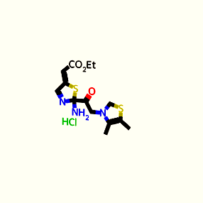 CCOC(=O)C=C1C=NC(N)(C(=O)CN2CSC(C)=C2C)S1.Cl